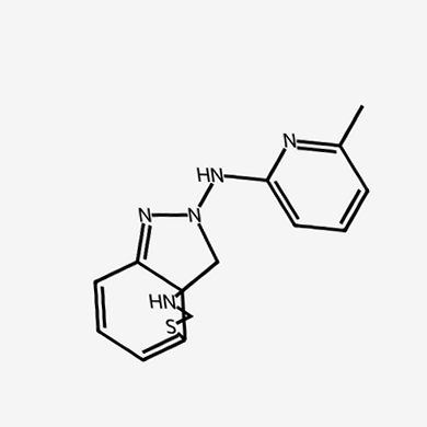 Cc1cccc(NN2CC34NCSC3=CC=CC4=N2)n1